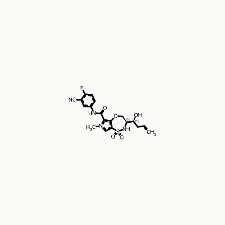 C=CC[C@H](O)[C@@H]1COc2c(cn(C)c2C(=O)Nc2ccc(F)c(C#N)c2)S(=O)(=O)N1